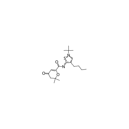 CCCCc1cn(C(C)(C)C)sc1=NC(=O)C1=CC(=O)CC(C)(C)O1